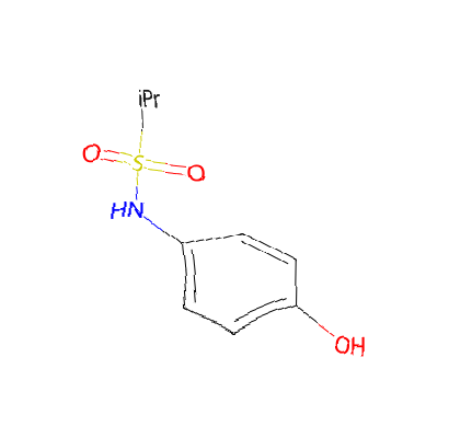 CC(C)S(=O)(=O)Nc1ccc(O)cc1